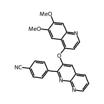 COc1cc2nccc(Oc3cc4cccnc4nc3-c3ccc(C#N)cc3)c2cc1OC